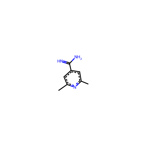 Cc1cc(C(=N)N)cc(C)n1